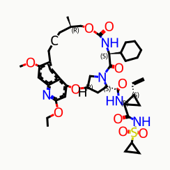 C=C[C@@H]1C[C@]1(NC(=O)[C@@H]1C[C@@H]2CN1C(=O)[C@H](C1CCCCC1)NC(=O)OC[C@H](C)CCCc1cc3c(cc(OCC)nc3cc1OC)O2)C(=O)NS(=O)(=O)C1CC1